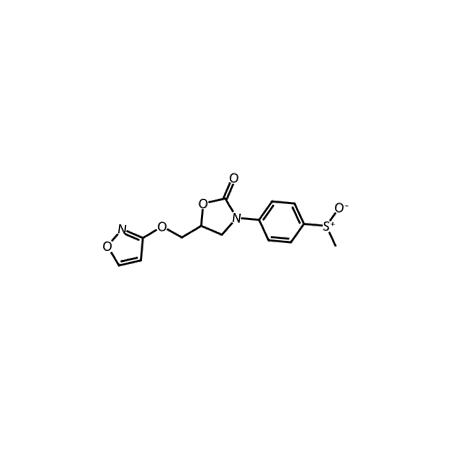 C[S+]([O-])c1ccc(N2CC(COc3ccon3)OC2=O)cc1